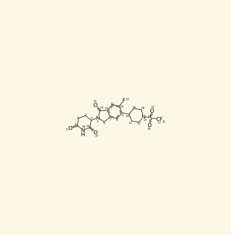 O=C1CCC(N2Cc3cc(C4CCN(S(=O)(=O)C(F)(F)F)CC4)c(F)cc3C2=O)C(=O)N1